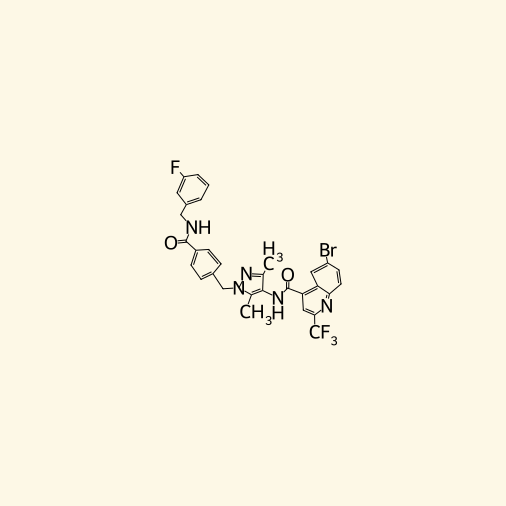 Cc1nn(Cc2ccc(C(=O)NCc3cccc(F)c3)cc2)c(C)c1NC(=O)c1cc(C(F)(F)F)nc2ccc(Br)cc12